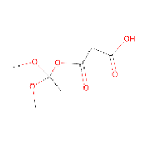 COC(C)(OC)OC(=O)CC(=O)O